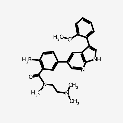 Bc1ccc(-c2cnc3[nH]cc(-c4ccccc4OC)c3c2)cc1C(=O)N(C)CCN(C)C